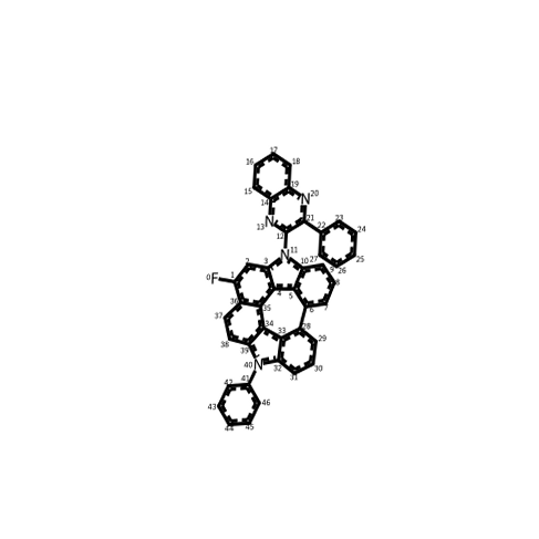 Fc1cc2c3c4c(cccc4n2-c2nc4ccccc4nc2-c2ccccc2)-c2cccc4c2c2c3c1ccc2n4-c1ccccc1